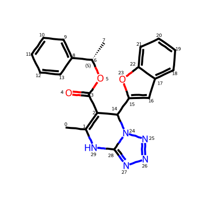 CC1=C(C(=O)O[C@@H](C)c2ccccc2)C(c2cc3ccccc3o2)n2nnnc2N1